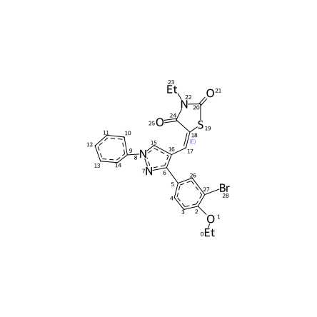 CCOc1ccc(-c2nn(-c3ccccc3)cc2/C=C2/SC(=O)N(CC)C2=O)cc1Br